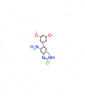 COc1cc(OC)cc(-c2cc3c(cc2N)N=C(Cl)NC3)c1